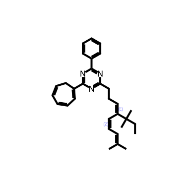 CCC(C)(C)C(/C=C\C=C(C)C)=C/CCc1nc(C2=CC=CC=CC2)nc(-c2ccccc2)n1